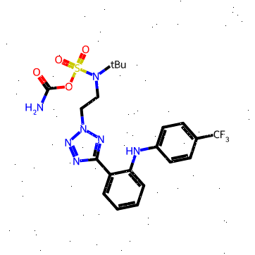 CC(C)(C)N(CCn1nnc(-c2ccccc2Nc2ccc(C(F)(F)F)cc2)n1)S(=O)(=O)OC(N)=O